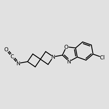 O=C=NC1CC2(C1)CN(c1nc3cc(Cl)ccc3o1)C2